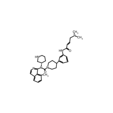 Cc1cccc2ccnc(N(C(=O)N3CCC(c4cccc(NC(=O)C=CCN(C)C)c4)CC3)[C@@H]3CCCNC3)c12